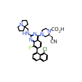 N#CC[C@H]1CN(c2nc(NCC34CCCN3CCC4)nc3c(F)c(-c4cccc5cccc(Cl)c45)ccc23)CCN1C(=O)O